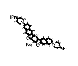 CC(C)C1CCN(c2ccc3cc4c(cc3c2)oc2c(C#N)c3oc5cc6cc(N7CCC(C(C)C)CC7)ccc6cc5c3cc24)CC1